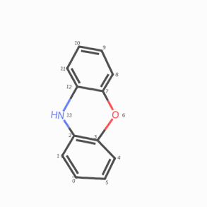 [c]1[c]c2c(cc1)Oc1ccccc1N2